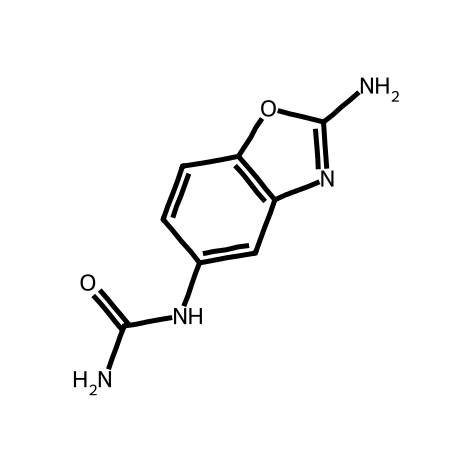 NC(=O)Nc1ccc2oc(N)nc2c1